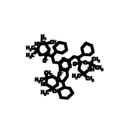 CC1(C)C[N+]([O-])(C(Cc2nc(CC(C3CCCCC3)[N+]3([O-])CC(C)(C)NC(C)(C)C3)nc(CC(C3CCCCC3)[N+]3([O-])CC(C)(C)NC(C)(C)C3)n2)C2CCCCC2)CC(C)(C)N1